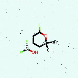 CCC[Si]1(C)CCCC(F)O1.O[SiH](F)F